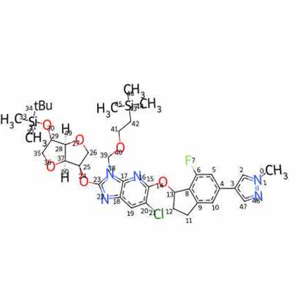 Cn1cc(-c2cc(F)c3c(c2)CCC3Oc2nc3c(cc2Cl)nc(O[C@@H]2CO[C@@H]4C(O[Si](C)(C)C(C)(C)C)CO[C@@H]42)n3COCC[Si](C)(C)C)cn1